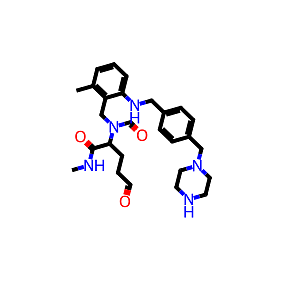 CNC(=O)C(CCC=O)N(C=O)Cc1c(C)cccc1NCc1ccc(CN2CCNCC2)cc1